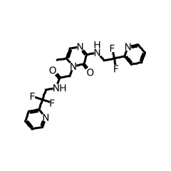 Cc1cnc(NCC(F)(F)c2ccccn2)c(=O)n1CC(=O)NCC(F)(F)c1ccccn1